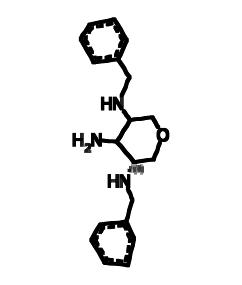 NC1C(NCc2ccccc2)COC[C@@H]1NCc1ccccc1